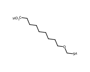 O=C(O)CCCCCCCCOCS